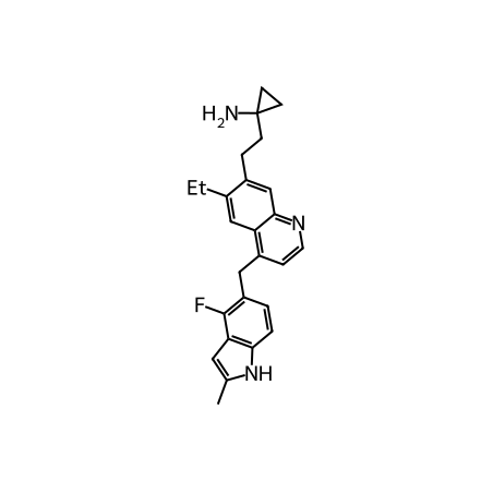 CCc1cc2c(Cc3ccc4[nH]c(C)cc4c3F)ccnc2cc1CCC1(N)CC1